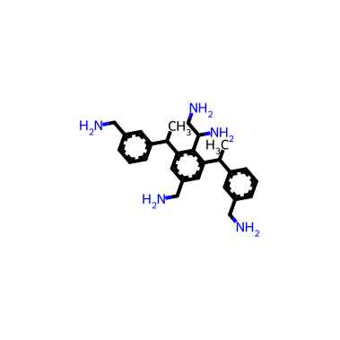 CC(c1cccc(CN)c1)c1cc(CN)cc(C(C)c2cccc(CN)c2)c1C(N)CN